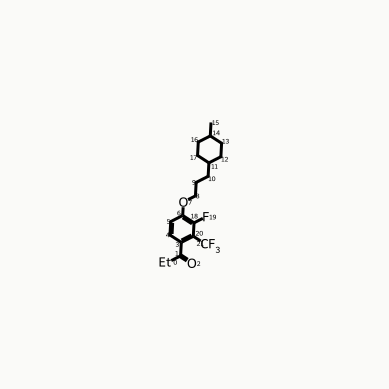 CCC(=O)c1ccc(OCCCC2CCC(C)CC2)c(F)c1C(F)(F)F